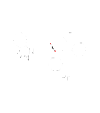 Brc1cccc2c1Cc1ccccc1C21C2=C(C=CCC2)Cc2cc(-n3nnc4ccccc43)ccc21